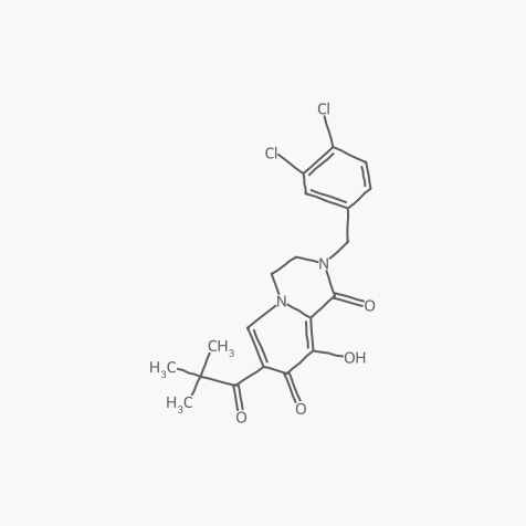 CC(C)(C)C(=O)c1cn2c(c(O)c1=O)C(=O)N(Cc1ccc(Cl)c(Cl)c1)CC2